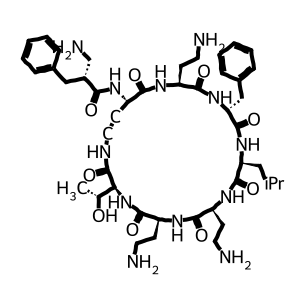 CC(C)C[C@@H]1NC(=O)[C@@H](Cc2ccccc2)NC(=O)[C@H](CCN)NC(=O)[C@@H](NC(=O)[C@@H](CN)Cc2ccccc2)CCNC(=O)[C@H]([C@@H](C)O)NC(=O)[C@H](CCN)NC(=O)[C@H](CCN)NC1=O